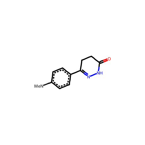 CNc1ccc(C2=NNC(=O)CC2)cc1